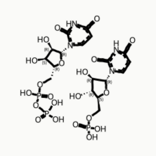 O=c1ccn([C@@H]2O[C@@H](COP(=O)(O)O)[C@H](O)[C@H]2O)c(=O)[nH]1.O=c1ccn([C@@H]2O[C@H](COP(=O)(O)OP(=O)(O)O)[C@@H](O)[C@H]2O)c(=O)[nH]1